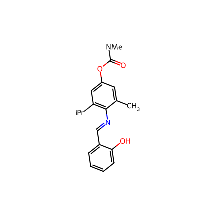 CNC(=O)Oc1cc(C)c(/N=C/c2ccccc2O)c(C(C)C)c1